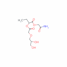 CCC(OC(=O)COCC(O)CO)C(=O)OCC(N)=O